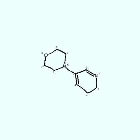 C1=NCCC=C1N1CCOCC1